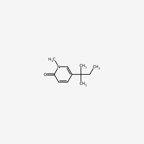 CCC(C)(C)c1ccc(=O)n(C)c1